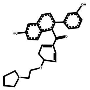 O=C(C1=CCC(OCCN2CCCC2)C=C1)c1c(-c2cccc(O)c2)ccc2cc(O)ccc12